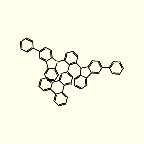 c1ccc(-c2ccc3c(c2)c2ccccc2n3-c2cccc(-n3c4ccccc4c4cc(-c5ccccc5)ccc43)c2-c2cnc3c4ccccc4c4ccccc4c3n2)cc1